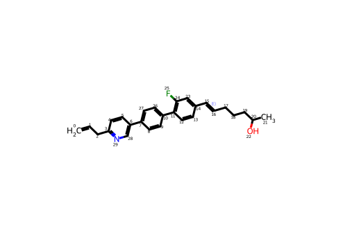 C=CCc1ccc(-c2ccc(-c3ccc(/C=C/CCCC(C)O)cc3F)cc2)cn1